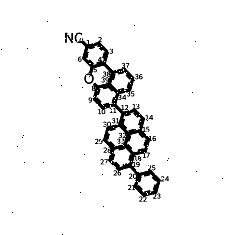 N#Cc1ccc2c(c1)Oc1ccc(-c3ccc4ccc5c(-c6ccccc6)ccc6ccc3c4c65)c3cccc-2c13